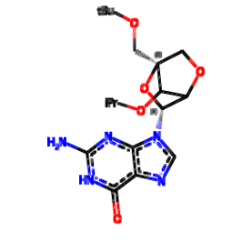 CC(C)OC1C2OC[C@]1(COC(C)(C)C)O[C@H]2n1cnc2c(=O)[nH]c(N)nc21